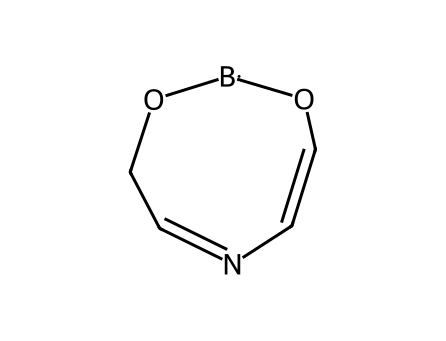 [B]1OC=CN=CCO1